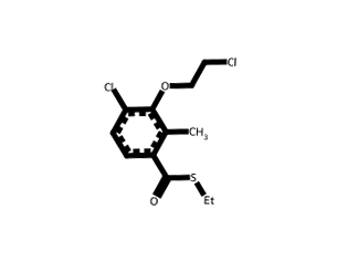 CCSC(=O)c1ccc(Cl)c(OCCCl)c1C